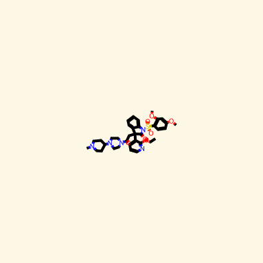 CCOc1ncccc1C1(CC(=O)N2CCN(C3CCN(C)CC3)CC2)C(=O)N(S(=O)(=O)c2ccc(OC)cc2OC)c2ccccc21